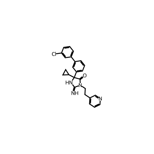 N=C1NC(c2cccc(-c3cccc(Cl)c3)c2)(C2CC2)C(=O)N1CCc1cccnc1